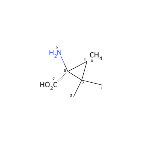 C.CC1(C)C[C@@]1(N)C(=O)O